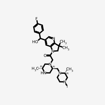 C[C@@H]1CN(CC(=O)N2CC(C)(C)c3ncc(C(O)c4ccc(F)cc4)cc32)[C@@H](CN2CCN(I)C[C@H]2C)CN1